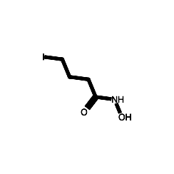 O=C(CCCI)NO